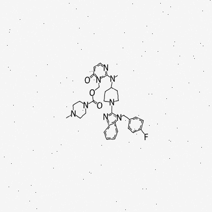 CN1CCN(C(=O)OCn2c(N(C)C3CCN(c4nc5ccccc5n4Cc4ccc(F)cc4)CC3)nccc2=O)CC1